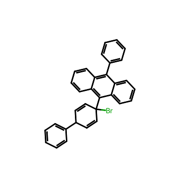 BrC1(c2c3ccccc3c(-c3ccccc3)c3ccccc23)C=CC(c2ccccc2)C=C1